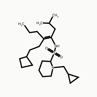 CCCC(CCC1CCC1)=C(CC(C)C)NS(=O)(=O)C1CCCCN1CC1CC1